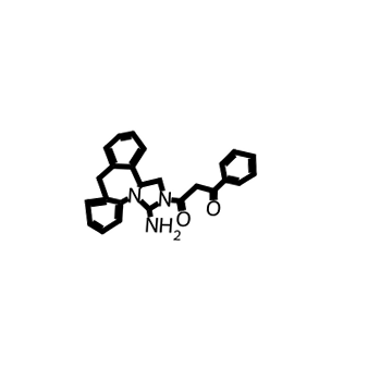 NC1N(C(=O)CC(=O)c2ccccc2)CC2c3ccccc3Cc3ccccc3N21